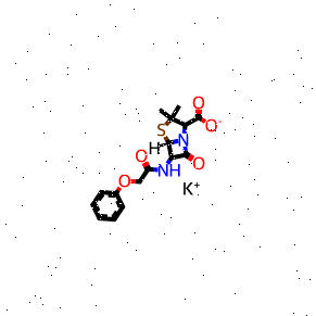 CC1(C)S[C@H]2C(NC(=O)COc3ccccc3)C(=O)N2C1C(=O)[O-].[K+]